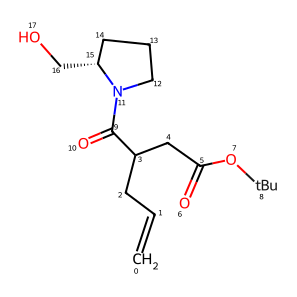 C=CCC(CC(=O)OC(C)(C)C)C(=O)N1CCC[C@H]1CO